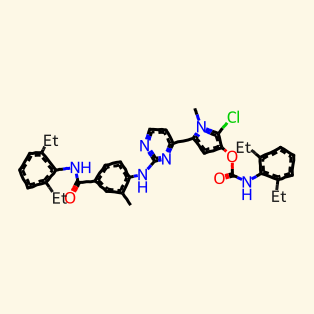 CCc1cccc(CC)c1NC(=O)Oc1cc(-c2ccnc(Nc3ccc(C(=O)Nc4c(CC)cccc4CC)cc3C)n2)n(C)c1Cl